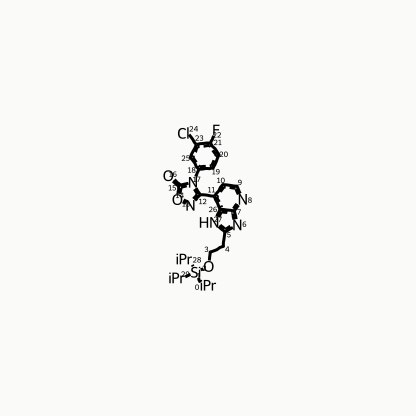 CC(C)[Si](OCCc1nc2nccc(-c3noc(=O)n3-c3ccc(F)c(Cl)c3)c2[nH]1)(C(C)C)C(C)C